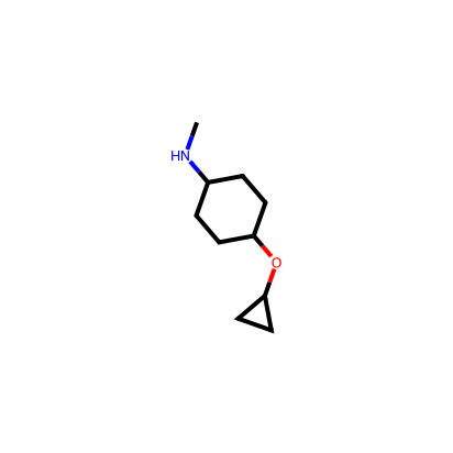 CNC1CCC(OC2CC2)CC1